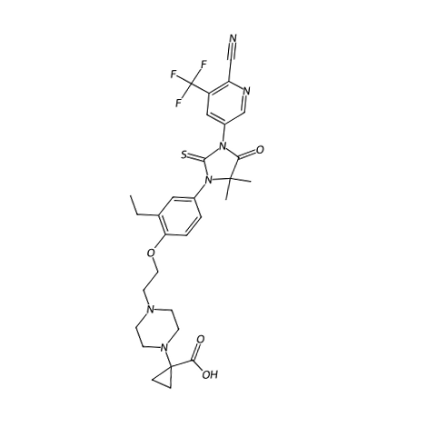 CCc1cc(N2C(=S)N(c3cnc(C#N)c(C(F)(F)F)c3)C(=O)C2(C)C)ccc1OCCN1CCN(C2(C(=O)O)CC2)CC1